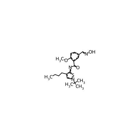 CCCCc1cn(C(C)(C)C)sc1=NC(=O)c1cc(C=NO)ccc1OC